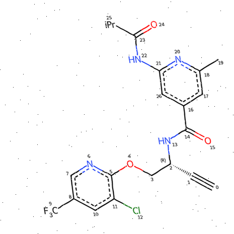 C#C[C@H](COc1ncc(C(F)(F)F)cc1Cl)NC(=O)c1cc(C)nc(NC(=O)C(C)C)c1